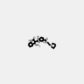 Nc1c(-c2nc3cc(C(=O)NCCN4CCCCC4)ccc3[nH]2)c(=O)[nH]c2ccccc12